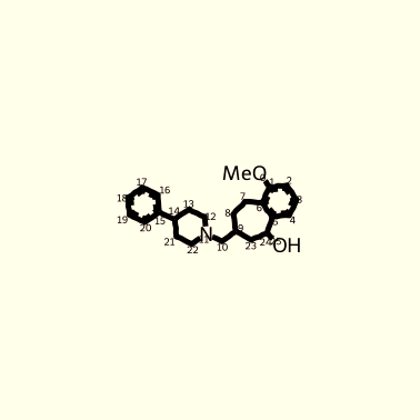 COc1cccc2c1CCC(CN1CCC(c3ccccc3)CC1)CC2O